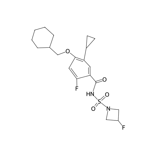 O=C(NS(=O)(=O)N1CC(F)C1)c1cc(C2CC2)c(OCC2CCCCC2)cc1F